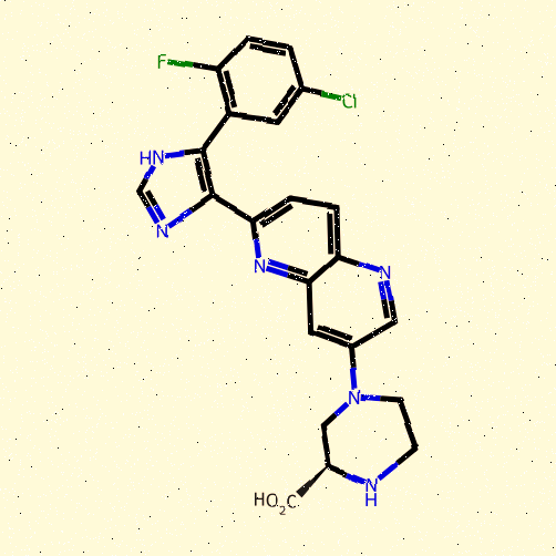 O=C(O)[C@H]1CN(c2cnc3ccc(-c4nc[nH]c4-c4cc(Cl)ccc4F)nc3c2)CCN1